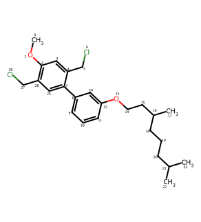 COc1cc(CCl)c(-c2cccc(OCCC(C)CCCC(C)C)c2)cc1CCl